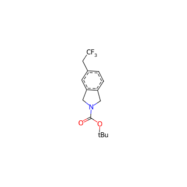 CC(C)(C)OC(=O)N1Cc2ccc(CC(F)(F)F)cc2C1